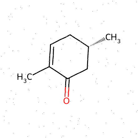 CC1=CC[C@H](C)CC1=O